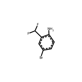 Nc1ccc(Br)cc1C(F)F